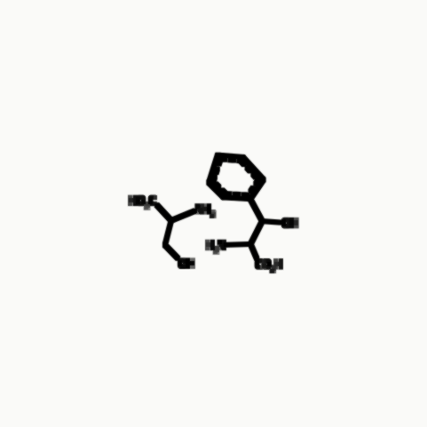 NC(C(=O)O)C(O)c1ccccc1.NC(CO)C(=O)O